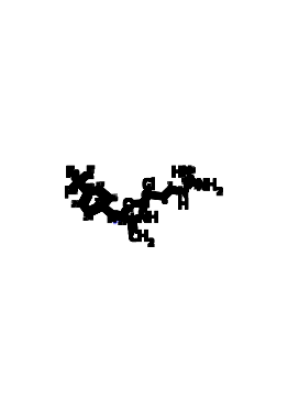 C=C1NC(C(Cl)CCNC(=N)N)O/C1=C\c1ccc(C(F)(F)F)cc1